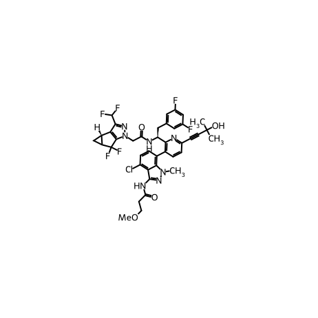 COCCC(=O)Nc1nn(C)c2c(-c3ccc(C#CC(C)(C)O)nc3[C@H](Cc3cc(F)cc(F)c3)NC(=O)Cn3nc(C(F)F)c4c3C(F)(F)C3C[C@H]43)ccc(Cl)c12